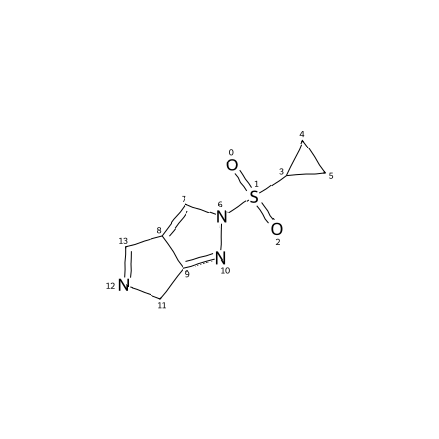 O=S(=O)(C1CC1)n1cc2c(n1)CN=C2